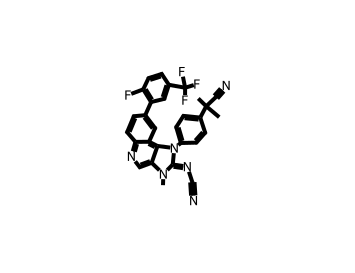 Cn1c(=NC#N)n(-c2ccc(C(C)(C)C#N)cc2)c2c3cc(-c4cc(C(F)(F)F)ccc4F)ccc3ncc21